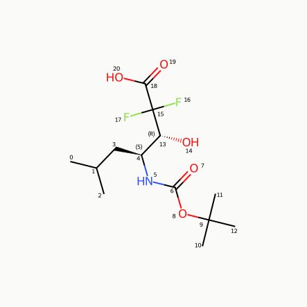 CC(C)C[C@H](NC(=O)OC(C)(C)C)[C@@H](O)C(F)(F)C(=O)O